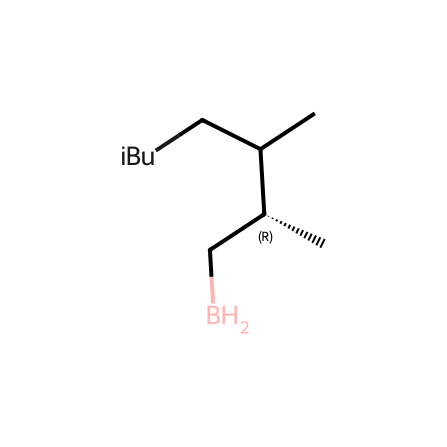 BC[C@@H](C)C(C)CC(C)CC